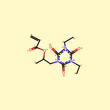 C=CC(=O)OC(C)Cn1c(=O)n(CC)c(=O)n(CC)c1=O